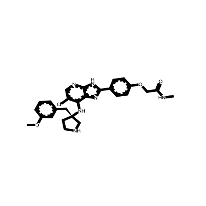 CNC(=O)COc1ccc(-c2nc3c(N[C@@]4(Cc5cccc(OC)c5)CCNC4)c(Cl)cnc3[nH]2)cc1